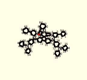 c1ccc(-c2cccc(N(c3ccc(N(c4ccccc4)c4ccccc4)cc3)c3ccc4c(c3)C3(c5cc(N(c6ccc(N(c7ccccc7)c7ccccc7)cc6)c6cccc(-c7ccccc7)c6)ccc5-4)c4ccccc4-n4c5ccccc5c5cccc3c54)c2)cc1